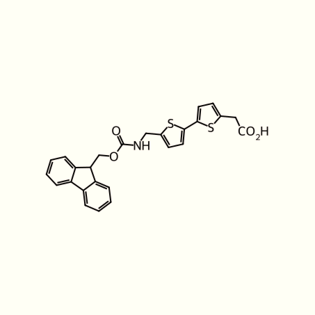 O=C(O)Cc1ccc(-c2ccc(CNC(=O)OCC3c4ccccc4-c4ccccc43)s2)s1